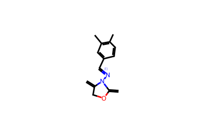 C=C1COC(=C)N1/N=C/c1ccc(C)c(C)c1